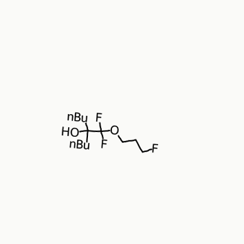 CCCCC(O)(CCCC)C(F)(F)OCCCF